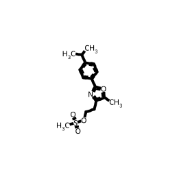 Cc1oc(-c2ccc(C(C)C)cc2)nc1CCOS(C)(=O)=O